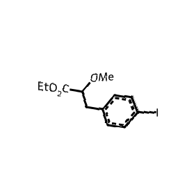 CCOC(=O)C(Cc1ccc(I)cc1)OC